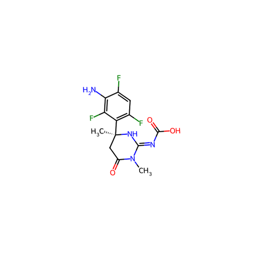 CN1C(=O)C[C@@](C)(c2c(F)cc(F)c(N)c2F)N/C1=N\C(=O)O